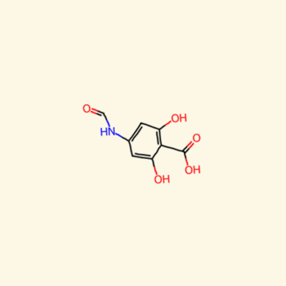 O=CNc1cc(O)c(C(=O)O)c(O)c1